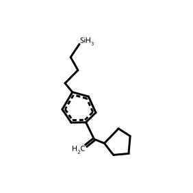 C=C(c1ccc(CCC[SiH3])cc1)C1CCCC1